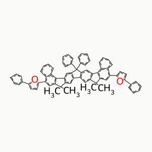 CC1(C)c2cc3c(cc2-c2c1cc(-c1ccc(-c4ccccc4)o1)c1ccccc21)C(c1ccccc1)(c1ccccc1)c1cc2c(cc1-3)C(C)(C)c1cc(-c3ccc(-c4ccccc4)o3)c3ccccc3c1-2